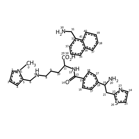 Cn1cccc1CNCCCC(NC(=O)c1ccc(C(N)Cc2nccs2)cc1)C(=O)O.NCc1cccc2ccccc12